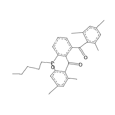 CCCCC[P](=O)c1cccc(C(=O)c2c(C)cc(C)cc2C)c1C(=O)c1c(C)cc(C)cc1C